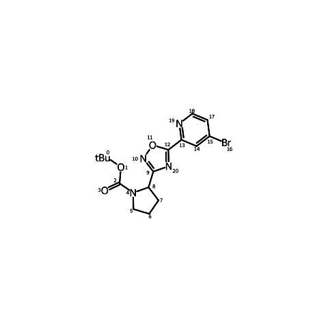 CC(C)(C)OC(=O)N1CCCC1c1noc(-c2cc(Br)ccn2)n1